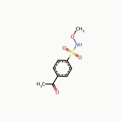 CONS(=O)(=O)c1ccc(C(C)=O)cc1